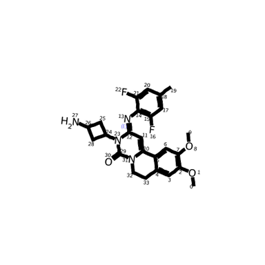 COc1cc2c(cc1OC)-c1c/c(=N\c3c(F)cc(C)cc3F)n(C3CC(N)C3)c(=O)n1CC2